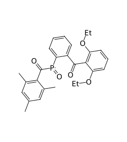 CCOc1cccc(OCC)c1C(=O)c1ccccc1[P](=O)C(=O)c1c(C)cc(C)cc1C